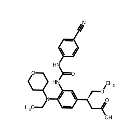 CCN(c1ccc([C@@H](COC)CC(=O)O)cc1NC(=O)Nc1ccc(C#N)cc1)C1CCOCC1